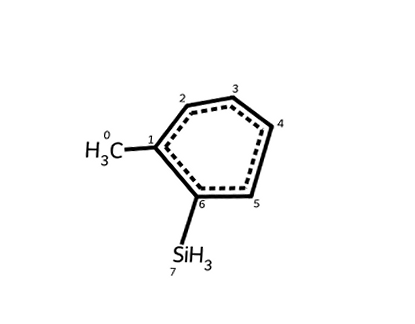 Cc1ccccc1[SiH3]